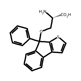 N[C@@H](COC1(c2ccccc2)c2ccccc2-c2ccsc21)C(=O)O